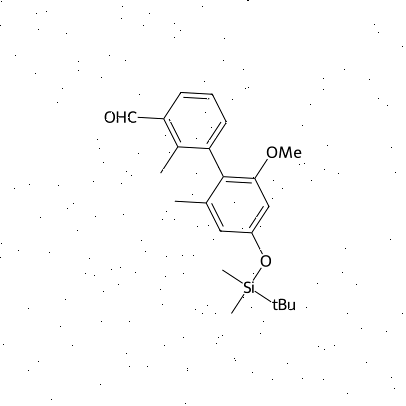 COc1cc(O[Si](C)(C)C(C)(C)C)cc(C)c1-c1cccc(C=O)c1C